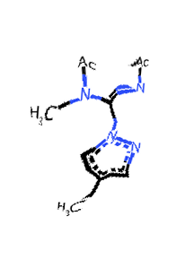 CC(=O)/N=C(\N(C)C(C)=O)n1cc(C)cn1